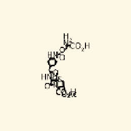 CC(=O)OCC1=C(C(=O)O)N2C(=O)[C@@H](NC(=O)Cc3ccc(NC(=O)OC[C@@H](N)C(=O)O)cc3)[C@H]2SC1